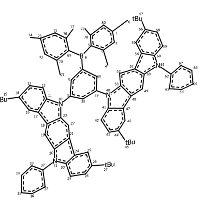 Cc1cc(C)c(B(c2cc(-n3c4ccc(C(C)(C)C)cc4c4cc5c(cc43)c3cc(C(C)(C)C)ccc3n5-c3ccccc3)cc(-n3c4ccc(C(C)(C)C)cc4c4cc5c(cc43)c3cc(C(C)(C)C)ccc3n5-c3ccccc3)c2)c2c(C)cc(C)cc2C)c(C)c1